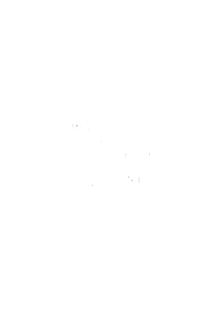 CCc1cc(SC)cc(CC)c1N